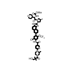 COC(=O)N[C@H](C(=O)N1C[C@@H](C)C[C@H]1c1nc2c(ccc3cc(-c4cc(Cl)c(NC(=O)c5ccc(N6CCN(C(=O)C(C)(C)CO)CC6C)nc5)cc4OC(F)(F)F)ccc32)[nH]1)C1CCOCC1